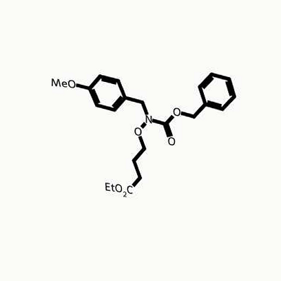 CCOC(=O)CCCON(Cc1ccc(OC)cc1)C(=O)OCc1ccccc1